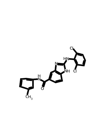 Cc1cccc(NC(=O)c2ccc3[nH]c(Nc4c(Cl)cccc4Cl)nc3c2)c1